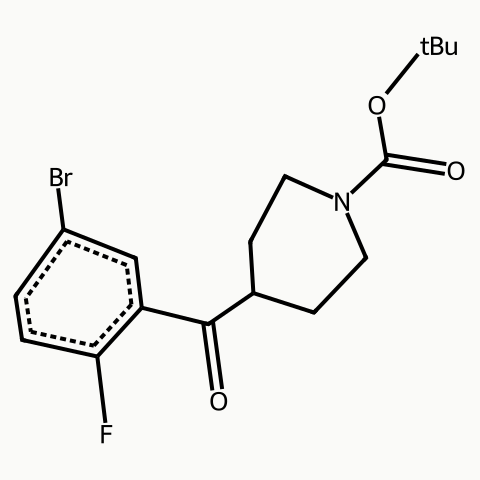 CC(C)(C)OC(=O)N1CCC(C(=O)c2cc(Br)ccc2F)CC1